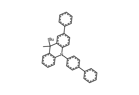 CC(C)(C)C1(C)c2ccccc2N(c2ccc(-c3ccccc3)cc2)c2ccc(-c3ccccc3)cc21